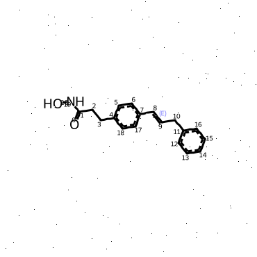 O=C(CCc1ccc(/C=C/Cc2ccccc2)cc1)NO